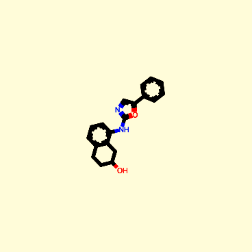 OC1CCc2cccc(Nc3ncc(-c4ccccc4)o3)c2C1